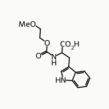 COCCOC(=O)NC(Cc1c[nH]c2ccccc12)C(=O)O